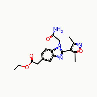 CCOC(=O)Cc1ccc2c(c1)nc(-c1c(C)noc1C)n2CC(N)=O